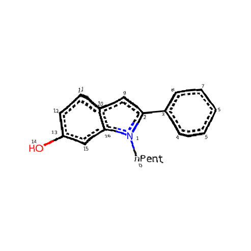 CCCCCn1c(-c2ccccc2)cc2ccc(O)cc21